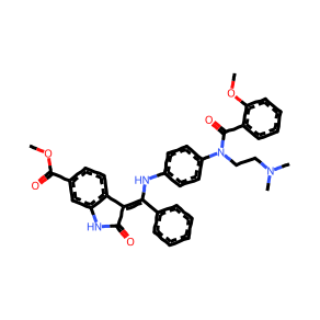 COC(=O)c1ccc2c(c1)NC(=O)C2=C(Nc1ccc(N(CCN(C)C)C(=O)c2ccccc2OC)cc1)c1ccccc1